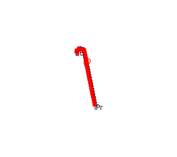 CC/C=C\C/C=C\C/C=C\CCCCCCCC(=O)OCCCCCCCCCCCCCCCCCCCCCCCCCCCCCCCC(C)C